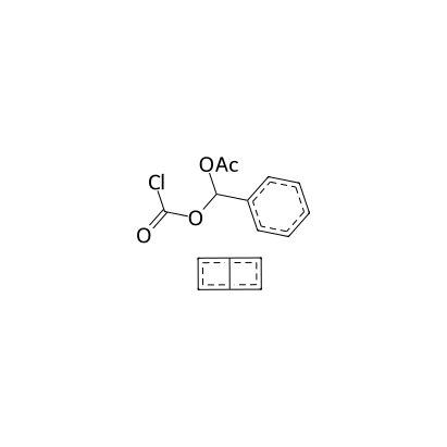 CC(=O)OC(OC(=O)Cl)c1ccccc1.c1cc2ccc1-2